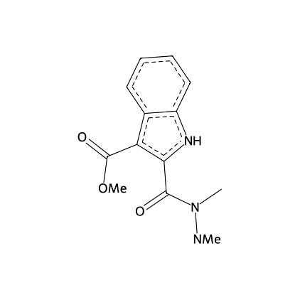 CNN(C)C(=O)c1[nH]c2ccccc2c1C(=O)OC